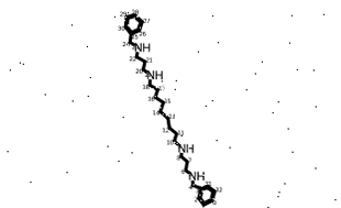 c1ccc(CNCCCNCCCCCCCCCNCCCNCc2ccccc2)cc1